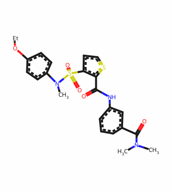 CCOc1ccc(N(C)S(=O)(=O)c2ccsc2C(=O)Nc2cccc(C(=O)N(C)C)c2)cc1